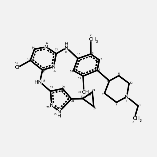 CCN1CCC(c2cc(C)c(Nc3ncc(Cl)c(Nc4cc(C5CC5)[nH]n4)n3)cc2C)CC1